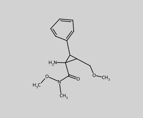 COCC1C(c2ccccc2)C1(N)C(=O)N(C)OC